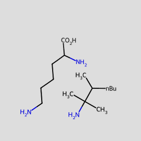 CCCCC(C)C(C)(C)N.NCCCCC(N)C(=O)O